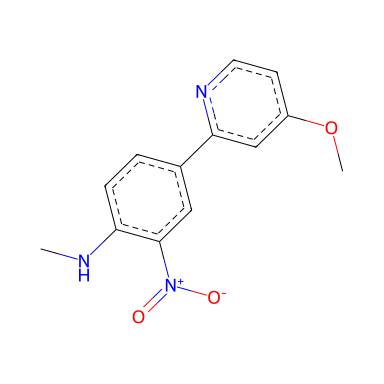 CNc1ccc(-c2cc(OC)ccn2)cc1[N+](=O)[O-]